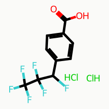 Cl.Cl.O=C(O)c1ccc(C(F)C(F)(F)C(F)(F)F)cc1